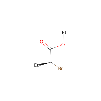 CCOC(=O)[C@@H](Br)CC